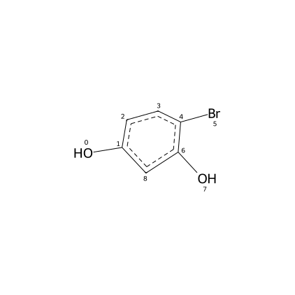 Oc1ccc(Br)c(O)c1